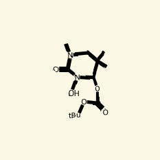 CN1CC(C)(C)C(OC(=O)OC(C)(C)C)N(O)C1=O